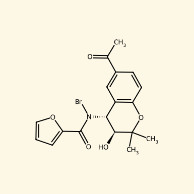 CC(=O)c1ccc2c(c1)[C@@H](N(Br)C(=O)c1ccco1)[C@H](O)C(C)(C)O2